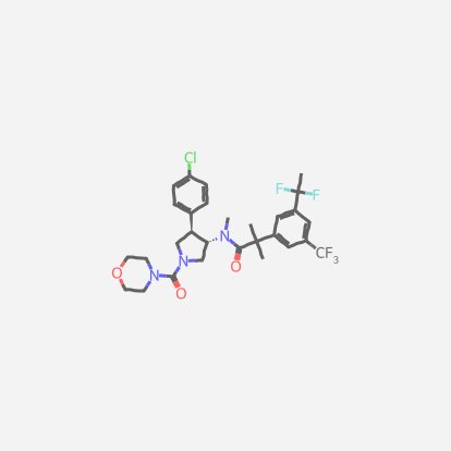 CN(C(=O)C(C)(C)c1cc(C(C)(F)F)cc(C(F)(F)F)c1)[C@@H]1CN(C(=O)N2CCOCC2)C[C@H]1c1ccc(Cl)cc1